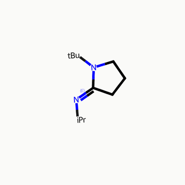 CC(C)/N=C1\CCCN1C(C)(C)C